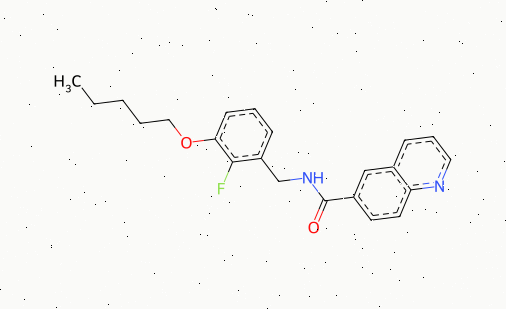 CCCCCOc1cccc(CNC(=O)c2ccc3ncccc3c2)c1F